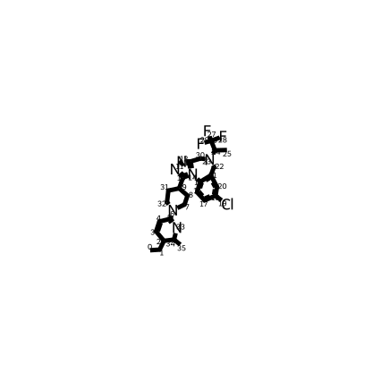 CCC1C=CC(N2CCC(c3nnc4n3-c3ccc(Cl)cc3CN(C(C)C(F)(F)F)C4)CC2)=NC1C